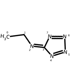 CCN=C1N=NN=N1